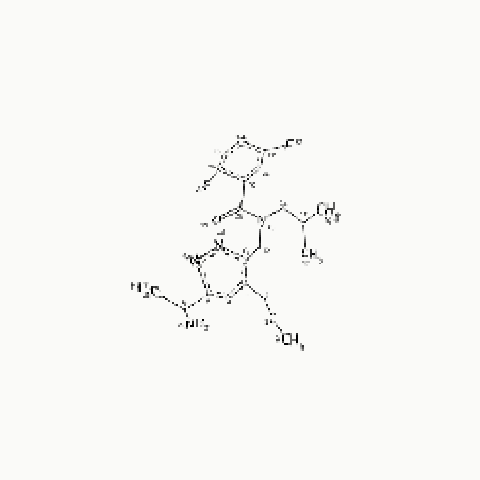 CCCc1cc(C(C)N)nnc1CN(CC(C)C)C(=O)c1cc(F)ccc1F